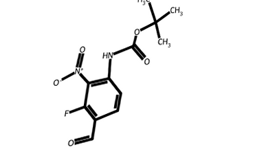 CC(C)(C)OC(=O)Nc1ccc(C=O)c(F)c1[N+](=O)[O-]